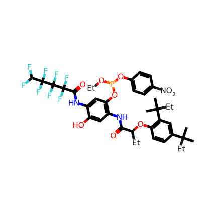 CCOP(Oc1ccc([N+](=O)[O-])cc1)Oc1cc(NC(=O)C(F)(F)C(F)(F)C(F)(F)C(F)F)c(O)cc1NC(=O)C(CC)Oc1ccc(C(C)(C)CC)cc1C(C)(C)CC